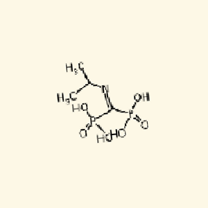 CC(C)N=C(P(=O)(O)O)P(=O)(O)O